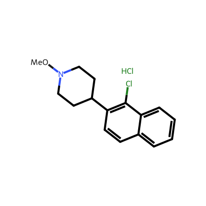 CON1CCC(c2ccc3ccccc3c2Cl)CC1.Cl